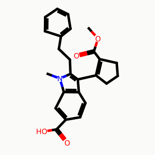 COC(=O)C1=C(c2c(CCc3ccccc3)n(C)c3cc(C(=O)O)ccc23)CCC1